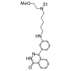 CCN(CCCCCNc1cccc(-c2n[nH]c(=O)c3ccccc23)c1)CCOC